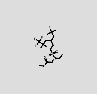 CCN(CC(=O)OC)S(=O)(=O)CCC(CC(C)(C)F)CC(C)(F)C(F)(F)F